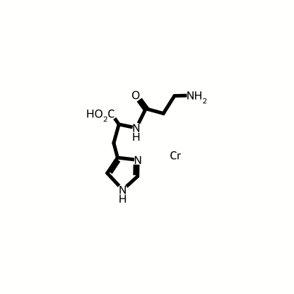 NCCC(=O)NC(Cc1c[nH]cn1)C(=O)O.[Cr]